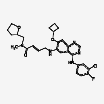 CN(CC1CCCO1)C(=O)C=CCNc1cc2c(Nc3ccc(F)c(Cl)c3)ncnc2cc1OC1CCC1